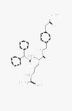 COC(=O)Cc1ccc(CNC(=O)[C@@H](CCCNC(=N)N)NC(=O)C(c2ccccc2)c2ccccc2)cc1